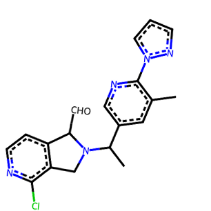 Cc1cc(C(C)N2Cc3c(ccnc3Cl)C2C=O)cnc1-n1cccn1